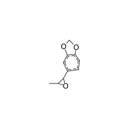 CC1OC1c1ccc2c(c1)OCO2